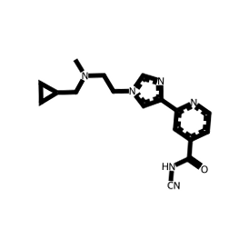 CN(CCn1cnc(-c2cc(C(=O)NC#N)ccn2)c1)CC1CC1